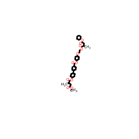 C=C(CC(=O)OC1CCCCC1)C(=O)OCCOc1ccc(OC(=O)c2ccc(-c3ccc(OC(=O)C(=C)CC(=O)OC)cc3)cc2)cc1